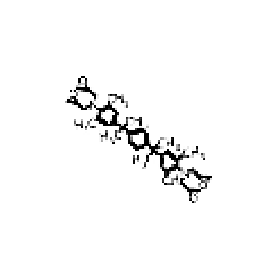 Cc1cc(C(C)(C)c2ccc(C(C)(C)c3cc(C)c(N(CC4CO4)CC4CO4)c(C)c3)cc2)cc(C)c1N(CC1CO1)CC1CO1